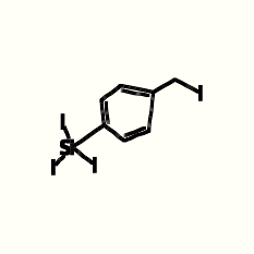 ICc1ccc([Si](I)(I)I)cc1